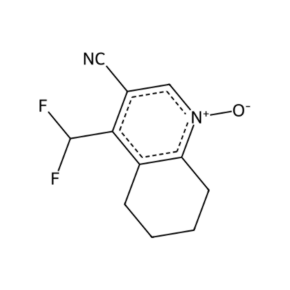 N#Cc1c[n+]([O-])c2c(c1C(F)F)CCCC2